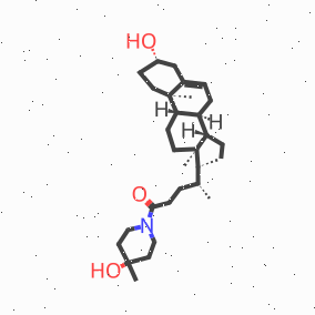 C[C@H](CCC(=O)N1CCC(C)(O)CC1)[C@H]1CC[C@H]2[C@@H]3CC=C4C[C@@H](O)CC[C@]4(C)[C@H]3CC[C@]12C